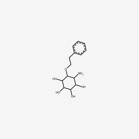 NC1C(O)C(O)C(O)C(O)C1OCCc1ccccc1